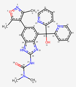 Cc1noc(C)c1-c1cc(C(O)(c2ccccn2)c2ccccn2)c2nc(NC(=O)N(C)C)[nH]c2c1